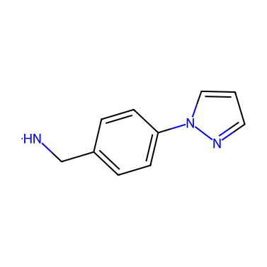 [NH]Cc1ccc(-n2cccn2)cc1